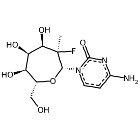 C[C@@]1(F)[C@H](O)[C@H](O)[C@H](O)[C@@H](CO)O[C@H]1n1ccc(N)nc1=O